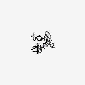 CCOc1nc(N(C=O)c2ccc(OC(F)F)cc2)c(/C=C(\C)B2OC(C)(C)C(C)(C)O2)s1